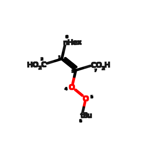 CCCCCC/C(C(=O)O)=C(/OOC(C)(C)C)C(=O)O